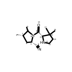 CC1[C@@H](C)C[C@@H](C#N)N1C(=O)[C@H]1NCCC1(C)C